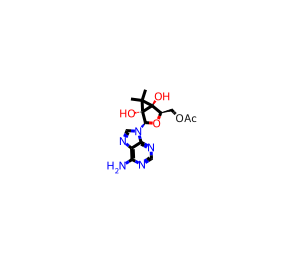 CC(=O)OC[C@H]1O[C@@H](n2cnc3c(N)ncnc32)[C@@]2(O)C(C)(C)[C@]12O